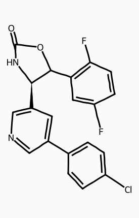 O=C1N[C@H](c2cncc(-c3ccc(Cl)cc3)c2)C(c2cc(F)ccc2F)O1